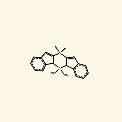 CCC[CH2][Zr]1([CH2]CCC)[CH]2C(=Cc3ccccc32)[Si](C)(C)C2=Cc3ccccc3[CH]21